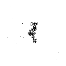 CN1CCN([C@H]2C[C@@H](c3nc(-c4ccc5c(ccn5Cc5ccccc5Cl)c4)c4c(N)nccn43)C2)CC1